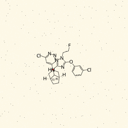 FCCn1nc(NC2[C@@H]3CC[C@H]2CN(c2cnnc(Cl)c2)C3)nc1Oc1cccc(Cl)c1